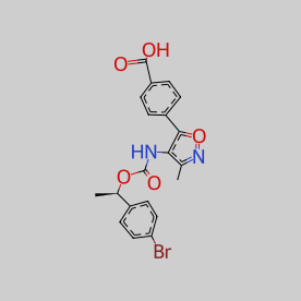 Cc1noc(-c2ccc(C(=O)O)cc2)c1NC(=O)O[C@H](C)c1ccc(Br)cc1